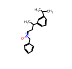 CC(C)c1cccc(C(C)C/C=[N+](/[O-])Cc2ccccc2)c1